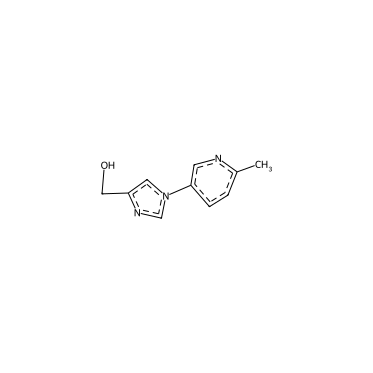 Cc1ccc(-n2cnc(CO)c2)cn1